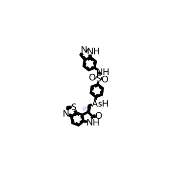 O=C1Nc2ccc3ncsc3c2/C1=C/[AsH]c1ccc(S(=O)(=O)Nc2ccc3cn[nH]c3c2)cc1